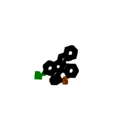 Brc1ccc2c(c1)C1(c3ccccc3Sc3ccccc31)c1cc3ccccc3cc1-2